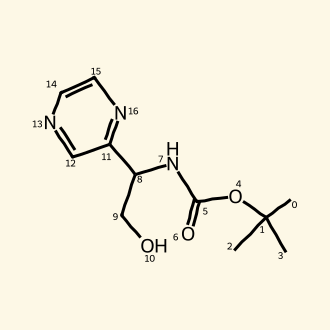 CC(C)(C)OC(=O)NC(CO)c1cnccn1